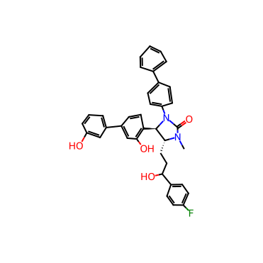 CN1C(=O)N(c2ccc(-c3ccccc3)cc2)[C@H](c2ccc(-c3cccc(O)c3)cc2O)[C@H]1CCC(O)c1ccc(F)cc1